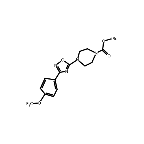 CC(C)(C)OC(=O)N1CCN(c2nc(-c3ccc(OC(F)(F)F)cc3)no2)CC1